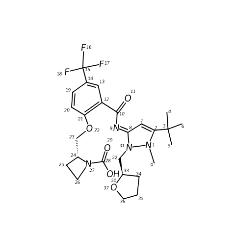 Cn1c(C(C)(C)C)cc(=NC(=O)c2cc(C(F)(F)F)ccc2OC[C@H]2CCN2C(=O)O)n1C[C@H]1CCCO1